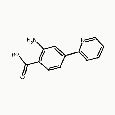 Nc1cc(-c2ccccn2)ccc1C(=O)O